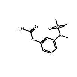 CN(c1cncc(OC(N)=O)c1)S(C)(=O)=O